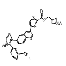 Cc1cccc(-c2[nH]cnc2-c2ccc3ncc(-c4csc(C(=O)OCC5CNC5)n4)cc3c2)n1